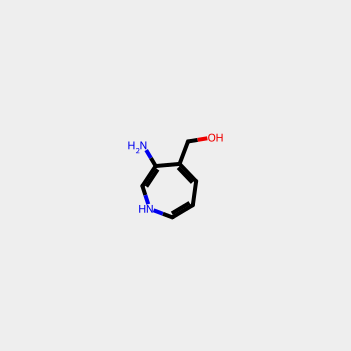 NC1=CNC=CC=C1CO